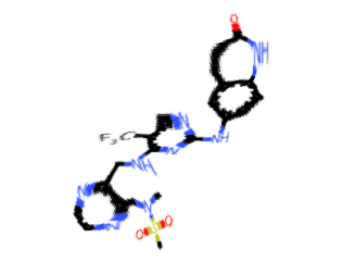 CN(c1nccnc1CNc1nc(Nc2ccc3c(c2)CC(=O)N3)ncc1C(F)(F)F)S(C)(=O)=O